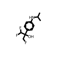 CC(C)Nc1ccc(C(O)(CF)C(F)F)cc1